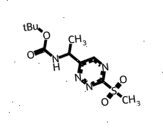 CC(NC(=O)OC(C)(C)C)c1cnc(S(C)(=O)=O)nn1